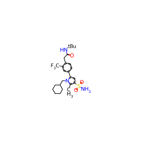 Cc1c(S(N)(=O)=O)cc(-c2ccc(CC(=O)NC(C)(C)C)c(C(F)(F)F)c2)n1CC1CCCCC1